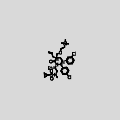 C=CC[C@@]1(COCC[Si](C)(C)C)C[C@H](c2cccc(Cl)c2)[C@@H](c2ccc(Cl)cc2)N([C@@H](CC)CN(C)S(=O)(=O)C2CC2)C1=O